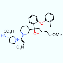 COCCCC[C@@](O)(c1ccccc1Oc1ccccc1C)[C@@H]1CCCN(/C(=C/[N+](=O)[O-])N2CC[C@H](NC(=O)O)C2)C1